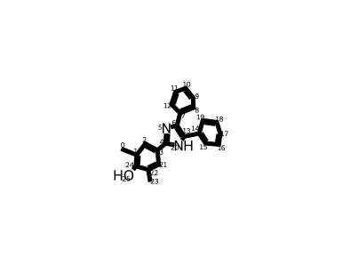 Cc1cc(-c2nc(-c3ccccc3)c(-c3ccccc3)[nH]2)cc(C)c1O